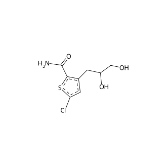 NC(=O)c1sc(Cl)cc1CC(O)CO